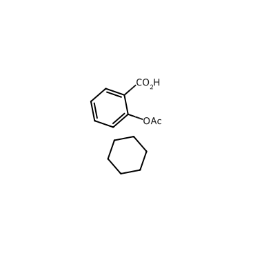 C1CCCCC1.CC(=O)Oc1ccccc1C(=O)O